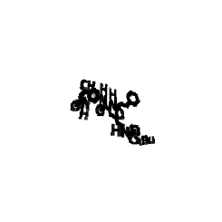 Cc1cc(=O)[nH]c2cc(NC(=O)[C@H](CCCCNC(=O)OC(C)(C)C)NC(=O)CCC3CCCCC3)ccc12